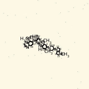 COc1cc(N2CCC(N3CCC4C3CCN4C)CC2)c(C)cc1Nc1ncc(Br)c(Nc2ccc3nccnc3c2P(C)C)n1